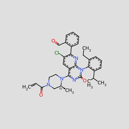 C=CC(=O)N1CCN(c2nc(=O)n(-c3c(CC)cccc3C(C)C)c3nc(-c4ccccc4C=O)c(Cl)cc23)[C@@H](C)C1